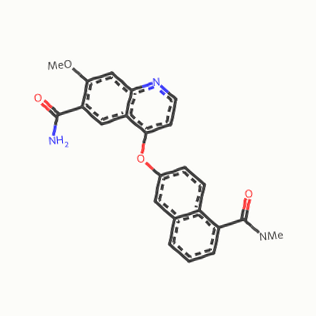 CNC(=O)c1cccc2cc(Oc3ccnc4cc(OC)c(C(N)=O)cc34)ccc12